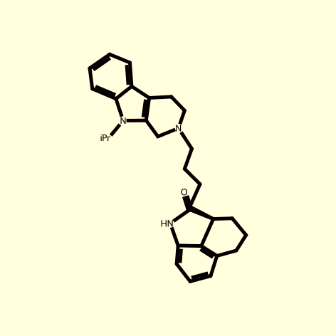 CC(C)n1c2c(c3ccccc31)CCN(CCCCC13CCCc4cccc(c41)NC3=O)C2